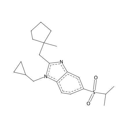 CC(C)S(=O)(=O)c1ccc2c(c1)nc(CC1(C)CCCC1)n2CC1CC1